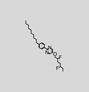 CCCCCCCCCCc1ccc(-c2ncc(OCC(F)CCC(F)CC)cn2)cc1